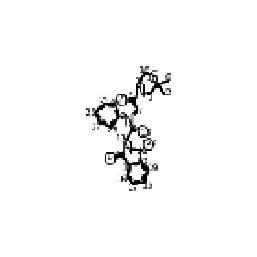 CC1(C)CN(C(=O)CN(C(=O)CN2C(=O)c3ccccc3C2=O)c2ccccc2)CCS1